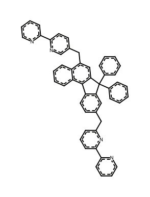 c1ccc(C2(c3ccccc3)c3cc(Cc4cccc(-c5ccccn5)n4)ccc3-c3c2cc(Cc2ccc(-c4ccccn4)nc2)c2ccccc32)cc1